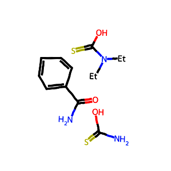 CCN(CC)C(O)=S.NC(=O)c1ccccc1.NC(O)=S